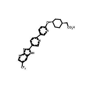 O=C(O)C[C@H]1CC[C@@H](Oc2ccc(-c3ccc(-c4nc5ncc(C(F)(F)F)cc5[nH]4)cn3)cn2)CC1